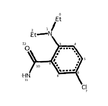 CCN(CC)c1ccc(Cl)cc1C([NH])=O